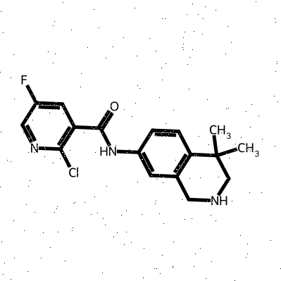 CC1(C)CNCc2cc(NC(=O)c3cc(F)cnc3Cl)ccc21